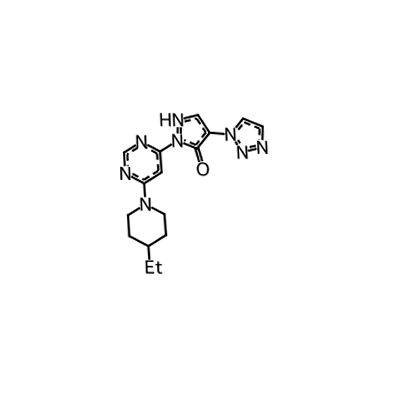 CCC1CCN(c2cc(-n3[nH]cc(-n4ccnn4)c3=O)ncn2)CC1